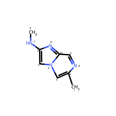 CNc1cn2cc(C)ncc2n1